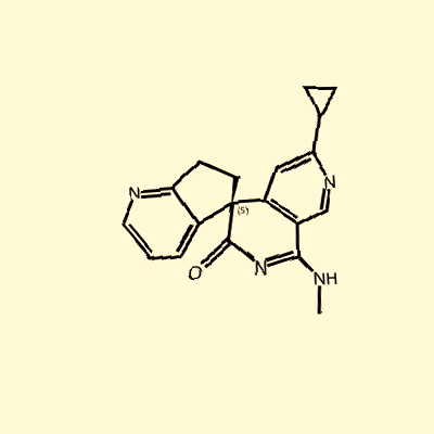 CNC1=NC(=O)[C@@]2(CCc3ncccc32)c2cc(C3CC3)ncc21